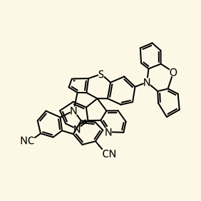 N#Cc1ccc2c(c1)c1cc(C#N)ccc1n2-c1cccc2c1C1(c3ccc(N4c5ccccc5Oc5ccccc54)cc3S2)c2cccnc2-c2ncccc21